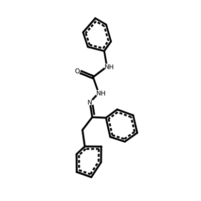 O=C(N/N=C(/Cc1ccccc1)c1ccccc1)Nc1ccccc1